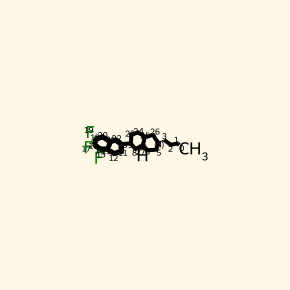 CCCC[C@@H]1CC[C@@H]2CC(c3ccc4c(F)c(F)c(F)cc4c3)CCC2C1